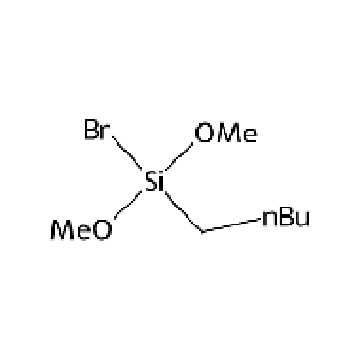 CCCCC[Si](Br)(OC)OC